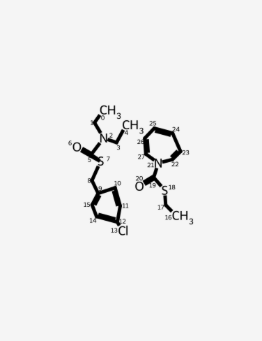 CCN(CC)C(=O)SCc1ccc(Cl)cc1.CCSC(=O)N1C=CC=CC=C1